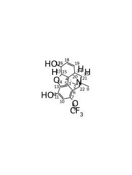 CN1CC[C@]23c4c5c(OC(F)(F)F)cc(O)c4O[C@H]2[C@@H](O)C=C[C@H]3[C@H]1C5